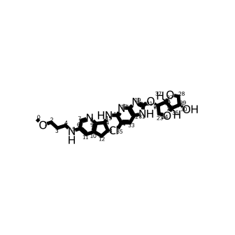 COCCCNc1cnc2c(c1)CCC2Nc1nc2nc(O[C@@H]3CO[C@H]4[C@@H]3OC[C@H]4O)[nH]c2cc1Cl